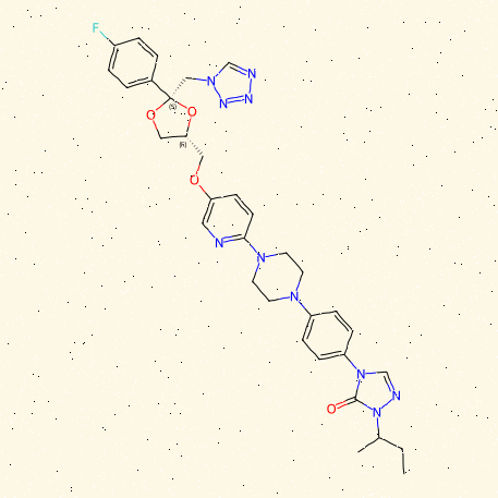 CCC(C)n1ncn(-c2ccc(N3CCN(c4ccc(OC[C@@H]5CO[C@@](Cn6cnnn6)(c6ccc(F)cc6)O5)cn4)CC3)cc2)c1=O